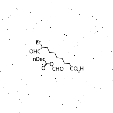 CCC(C=O)CCCCCCCC(=O)O.CCCCCCCCCCC(=O)OC=O